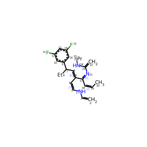 C=CN\C=C/C(=C\C(CC)c1cc(F)cc(F)c1)C(/C=C\C)=N\C(=C)NCCC